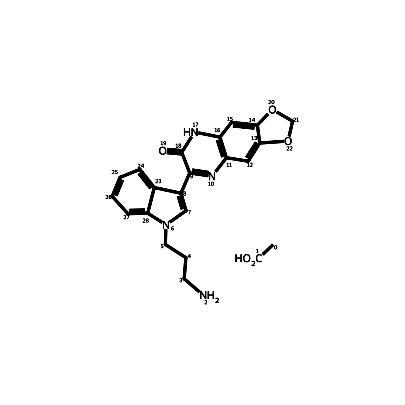 CC(=O)O.NCCCn1cc(-c2nc3cc4c(cc3[nH]c2=O)OCO4)c2ccccc21